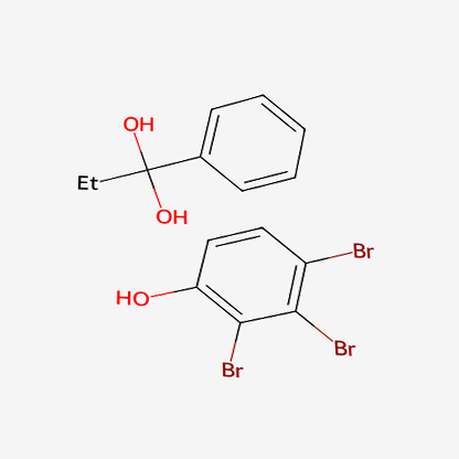 CCC(O)(O)c1ccccc1.Oc1ccc(Br)c(Br)c1Br